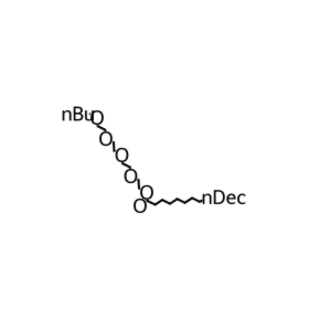 CCCCCCCCCCCCCCCCCC(=O)OCCOCCOCCOCCOCCCC